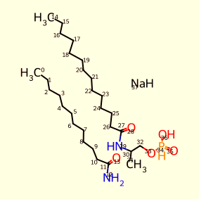 CCCCCCCCCCCC(N)=O.CCCCCCCCCCCCCC(=O)NC(C)CO[PH](=O)O.[NaH]